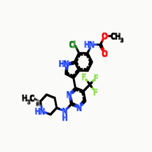 COC(=O)Nc1ccc2c(-c3nc(NC4CC[C@@H](C)NC4)ncc3C(F)(F)F)c[nH]c2c1Cl